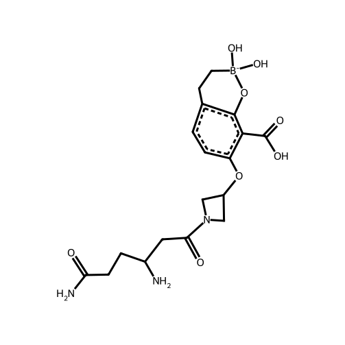 NC(=O)CCC(N)CC(=O)N1CC(Oc2ccc3c(c2C(=O)O)O[B-](O)(O)CC3)C1